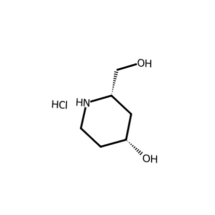 Cl.OC[C@@H]1C[C@H](O)CCN1